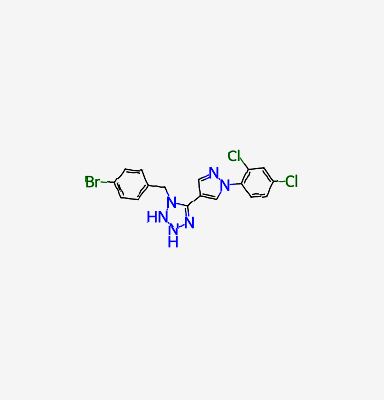 Clc1ccc(-n2cc(C3=NNNN3Cc3ccc(Br)cc3)cn2)c(Cl)c1